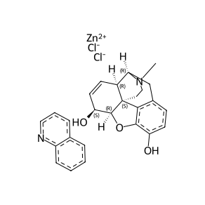 CN1CC[C@]23c4c5ccc(O)c4O[C@H]2[C@@H](O)C=C[C@H]3[C@H]1C5.[Cl-].[Cl-].[Zn+2].c1ccc2ncccc2c1